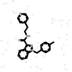 Cc1ccc(Cn2nc(C(=O)NCCc3ccncc3)c3ccccc32)cc1